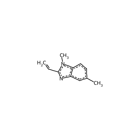 C=Cc1nc2cc(C)ccc2n1C